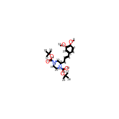 COc1ccc(C=CCC2CN(C(=O)OC(C)(C)C)CCN2C(=O)OC(C)(C)C)cc1OC